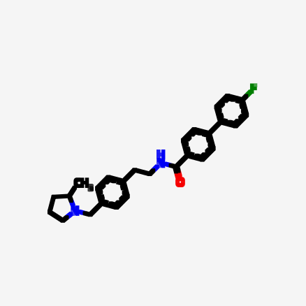 CC1CCCN1Cc1ccc(CCNC(=O)c2ccc(-c3ccc(F)cc3)cc2)cc1